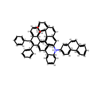 c1ccc(-c2c(-c3ccccc3)c3cc(-c4ccccc4N(c4ccc5c(ccc6ccccc65)c4)c4ccc5c(ccc6ccccc65)c4)ccc3c3ccccc23)cc1